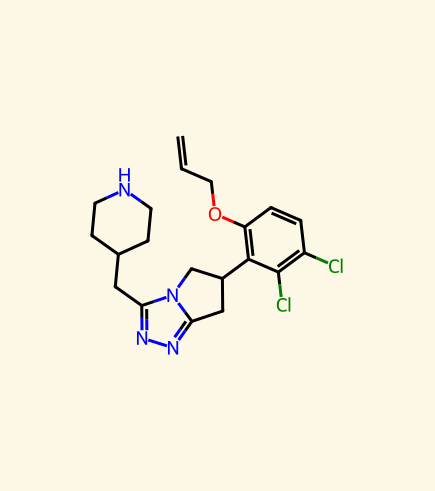 C=CCOc1ccc(Cl)c(Cl)c1C1Cc2nnc(CC3CCNCC3)n2C1